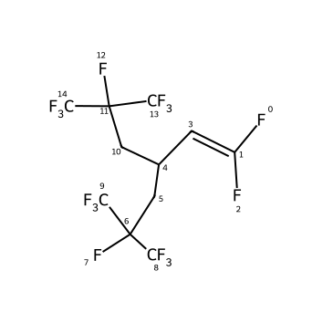 FC(F)=CC(CC(F)(C(F)(F)F)C(F)(F)F)CC(F)(C(F)(F)F)C(F)(F)F